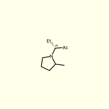 CC[C@H](C(C)=O)N1CCCC1C